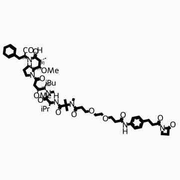 CC[C@H](C)[C@@H]([C@@H](CC(=O)N1CCC[C@H]1[C@H](OC)[C@@H](C)C(=O)N[C@@H](CC1=CCCC=C1)C(=O)O)OC)N(C)C(=O)[C@@H](NC(=O)C(C)(C)N(C)C(=O)CCOCCOCCC(=O)Nc1ccc(CCC(=O)N2CCC2=O)cc1)C(C)C